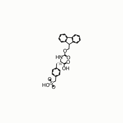 O=C(N[C@@H](Cc1ccc(CS(=O)(=O)O)cc1)C(=O)O)OCC1c2ccccc2-c2ccccc21